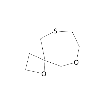 C1CSCC2(CCO2)CO1